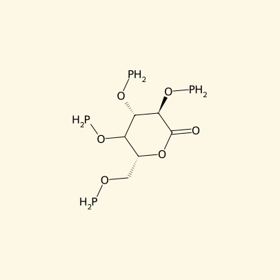 O=C1O[C@H](COP)C(OP)[C@H](OP)[C@H]1OP